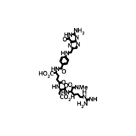 CNC(=O)C(CCCNC(=N)N)NC(=O)C(CC(=O)O)NC(=O)CCC(NC(=O)c1ccc(NCc2cnc3nc(N)[nH]c(=O)c3n2)cc1)C(=O)O